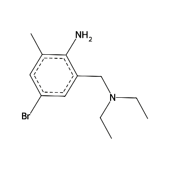 CCN(CC)Cc1cc(Br)cc(C)c1N